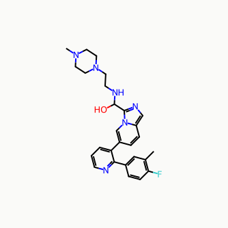 Cc1cc(-c2ncccc2-c2ccc3cnc(C(O)NCCN4CCN(C)CC4)n3c2)ccc1F